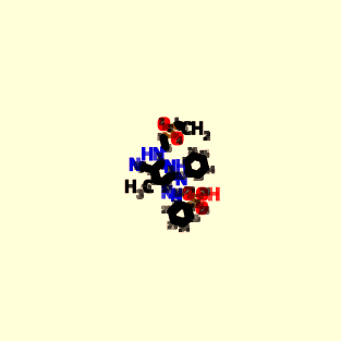 C=CS(=O)(=O)CCNc1nc(NC2CCCCC2)c(/N=N/c2ccccc2S(=O)(=O)O)c(C)c1C#N